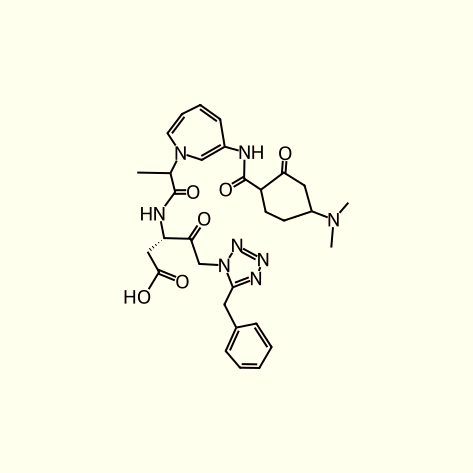 CC(C(=O)N[C@@H](CC(=O)O)C(=O)Cn1nnnc1Cc1ccccc1)N1C=CC=CC(NC(=O)C2CCC(N(C)C)CC2=O)=C1